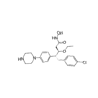 CCO[C@H](CC(=O)NO)[C@H](Cc1ccc(Cl)cc1)c1ccc(N2CCNCC2)cc1